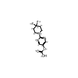 O=C(O)Oc1cnc(N2CCC(F)(F)CC2)nc1